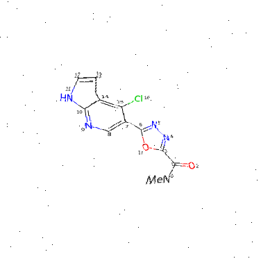 CNC(=O)c1nnc(-c2cnc3[nH]ccc3c2Cl)o1